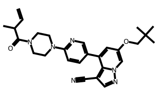 C=CC(C)C(=O)N1CCN(c2ccc(-c3cc(OCC(C)(C)C)cn4ncc(C#N)c34)cn2)CC1